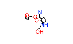 N#C/C(C(=O)OCCc1ccco1)=C1/C=C(NCCCO)CCC1